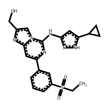 CCS(=O)(=O)c1cccc(-c2cc3nc(CO)cn3c(Nc3cc(C4CC4)[nH]n3)n2)c1